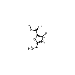 CCC(=O)c1sc(CO)nc1C